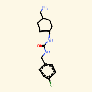 NCC1CCC(NC(=O)NCc2ccc(Cl)cc2)CC1